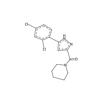 O=C(c1cc(-c2ccc(Cl)cc2Cl)[nH]n1)N1CCCCC1